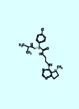 CC(C)NC[C@@H](C(=O)NCCNc1ncnc2c1[C@H](C)CC2)c1ccc(Cl)cc1